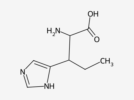 CCC(c1cnc[nH]1)C(N)C(=O)O